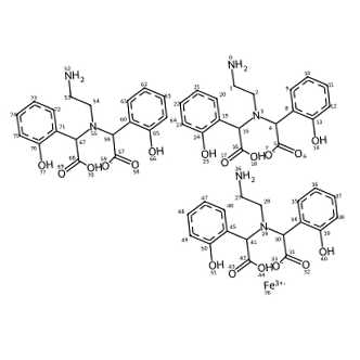 NCCN(C(C(=O)[O-])c1ccccc1O)C(C(=O)O)c1ccccc1O.NCCN(C(C(=O)[O-])c1ccccc1O)C(C(=O)O)c1ccccc1O.NCCN(C(C(=O)[O-])c1ccccc1O)C(C(=O)O)c1ccccc1O.[Fe+3]